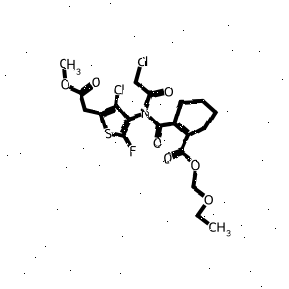 CCOCOC(=O)C1=C(C(=O)N(C(=O)CCl)c2c(F)sc(CC(=O)OC)c2Cl)CCCC1